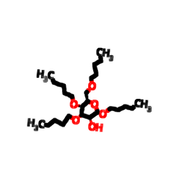 CCCCCOC[C@H]1OC(OCCCCC)[C@H](O)[C@@H](OCCCCC)[C@@H]1OCCCCC